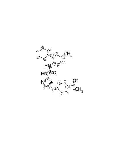 CC(=O)N1CCN(Cc2cnc(NC(=O)Nc3ccc(C)cc3N3CCCCC3)s2)CC1